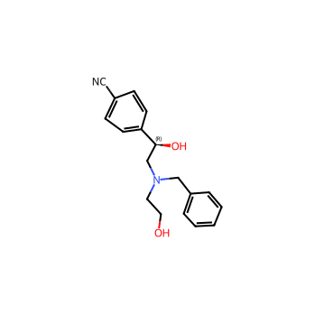 N#Cc1ccc([C@@H](O)CN(CCO)Cc2ccccc2)cc1